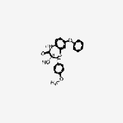 COc1ccc([C@H]2Sc3cc(Oc4ccccc4)ccc3NC(=O)[C@H]2O)cc1